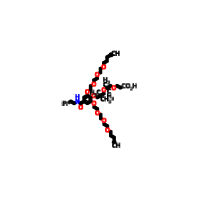 C#CCCCOCCOCCOCCOc1cc(C(=O)NCCC(C)C)cc(OCCOCCOCCOCCCC#C)c1OCC(C)(C)COC(C)(C)COCCC(=O)O